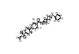 C[C@@H]1CN(c2ncc(S(=O)(=O)C3CC3)cn2)C[C@H](C)N1C(=O)NC1CC2(C1)CN(Cc1ccccc1)C2